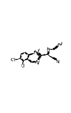 N#CN=C(C#N)c1ncc2c(Cl)c(Cl)ccc2n1